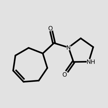 O=C1NCCN1C(=O)C1CCC=CCC1